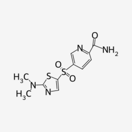 CN(C)c1ncc(S(=O)(=O)c2ccc(C(N)=O)nc2)s1